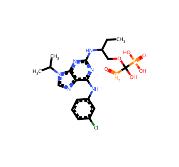 CCC(COC(O)([PH2]=O)P(=O)(O)O)Nc1nc(Nc2cccc(Cl)c2)c2ncn(C(C)C)c2n1